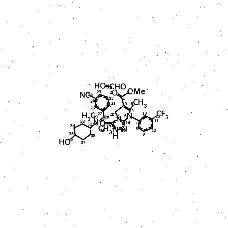 COC(=O)C1=C(C)N(c2cccc(C(F)(F)F)c2)c2n[nH]c(=O)n2[C@@H]1c1ccc(C#N)cc1C[N+](C)(C)C1CCC(O)CC1.O=CO